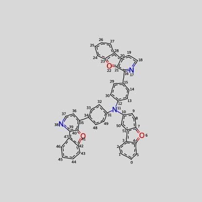 c1ccc2c(c1)oc1ccc(N(c3ccc(-c4nccc5c4oc4ccccc45)cc3)c3ccc(-c4ccnc5c4oc4ccccc45)cc3)cc12